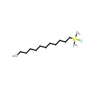 CC(=O)OCCCCCCCCCCCS(C)(C)Cl